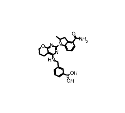 CC1Cc2c(C(N)=O)cccc2N1c1nc(NCc2cccc(B(O)O)c2)c2c(n1)OCCC2